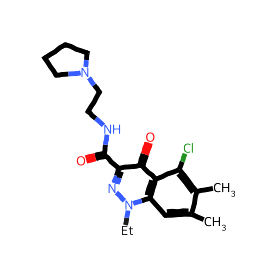 CCn1nc(C(=O)NCCN2CCCC2)c(=O)c2c(Cl)c(C)c(C)cc21